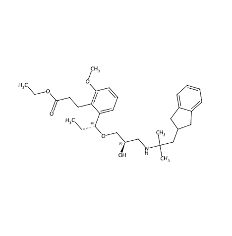 CCOC(=O)CCc1c(OC)cccc1[C@@H](CC)OC[C@H](O)CNC(C)(C)CC1Cc2ccccc2C1